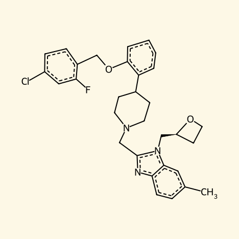 Cc1ccc2nc(CN3CCC(c4ccccc4OCc4ccc(Cl)cc4F)CC3)n(C[C@@H]3CCO3)c2c1